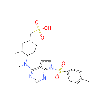 Cc1ccc(S(=O)(=O)n2ccc3c(N(C)C4CCC(CS(=O)(=O)O)CC4C)ncnc32)cc1